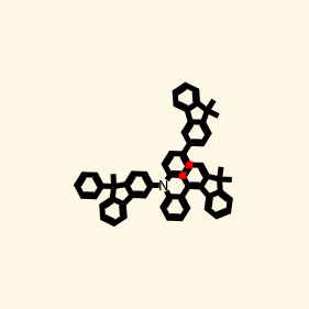 CC1(C)c2ccccc2-c2cc(-c3ccc(N(c4ccc5c(c4)-c4ccccc4C5(C)c4ccccc4)c4ccccc4-c4cccc5c4-c4ccccc4C5(C)C)cc3)ccc21